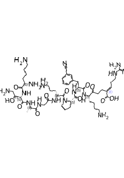 C[C@H](NC(=O)[C@@H](NC(=O)[C@@H](N)CCCCN)[C@@H](O)CN)C(=O)NCC(=O)N[C@H](CCCN)C(=O)N1CCC[C@H]1C(=O)N[C@@H](Cc1cccc(C#N)c1)C(=O)N[C@@H](CCCCN)C(=O)CC/C(=C\CCNC(=N)N)C(=O)O